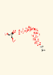 O.O.O.O.O.O.O.O.O.O=[Si]([O-])[O-].[K+].[K+]